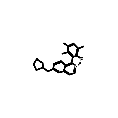 Cc1cc(C)c(F)c(-c2c3ccc(CC4CCCC4)cc3cc[n+]2C)c1C